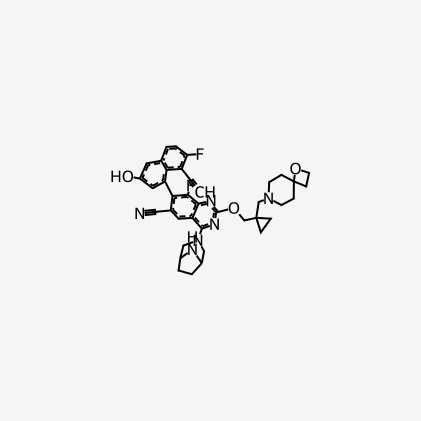 C#Cc1c(F)ccc2cc(O)cc(-c3c(C#N)cc4c(N5CC6CCC(C5)N6)nc(OCC5(CN6CCC7(CCO7)CC6)CC5)nc4c3F)c12